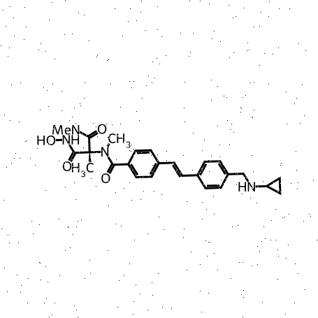 CNC(=O)[C@@](C)(C(=O)NO)N(C)C(=O)c1ccc(/C=C/c2ccc(CNC3CC3)cc2)cc1